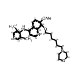 COc1ccc2c(Nc3c(C)cncc3C)ccnc2c1OCCCCCCN1CCOCC1